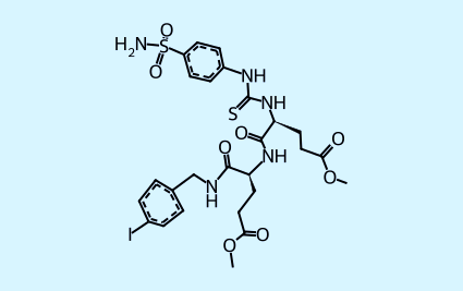 COC(=O)CC[C@H](NC(=O)[C@H](CCC(=O)OC)NC(=S)Nc1ccc(S(N)(=O)=O)cc1)C(=O)NCc1ccc(I)cc1